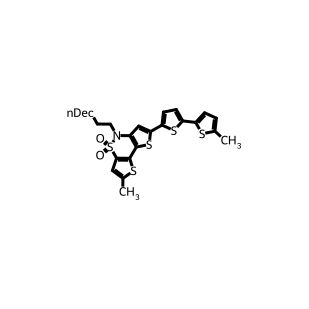 CCCCCCCCCCCCN1c2cc(-c3ccc(-c4ccc(C)s4)s3)sc2-c2sc(C)cc2S1(=O)=O